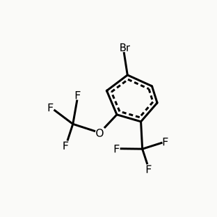 FC(F)(F)Oc1cc(Br)ccc1C(F)(F)F